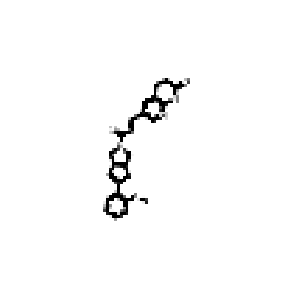 COc1ccccc1C1=CC2CN(C(=O)/C=C/c3cnc4c(c3)CCC(=O)N4)CC2C1